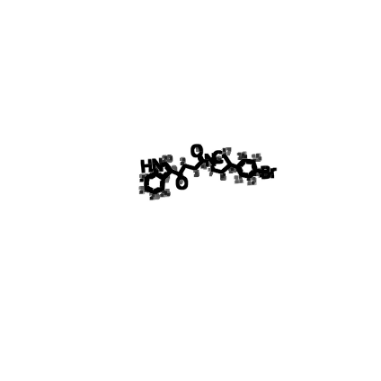 O=C(CCC(=O)N1CCC(c2ccc(Br)cc2)CC1)c1c[nH]c2ccccc12